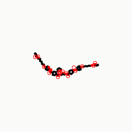 C=CC(=O)OCCCCCCOc1ccc(OC(=O)C2CCC(C(=O)OCC(COC(=O)C3CCC(C(=O)Oc4ccc(OCCCCCCOC(=O)C=C)cc4)CC3)OC3CCCCO3)CC2)cc1